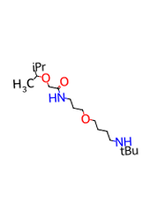 CC(C)C(C)OCC(=O)NCCCOCCCCNC(C)(C)C